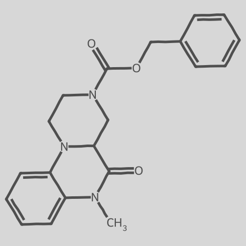 CN1C(=O)C2CN(C(=O)OCc3ccccc3)CCN2c2ccccc21